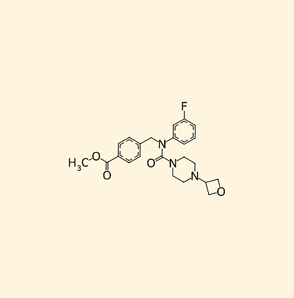 COC(=O)c1ccc(CN(C(=O)N2CCN(C3COC3)CC2)c2cccc(F)c2)cc1